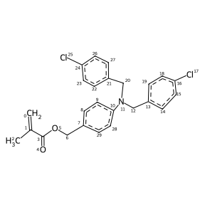 C=C(C)C(=O)OCc1ccc(N(Cc2ccc(Cl)cc2)Cc2ccc(Cl)cc2)cc1